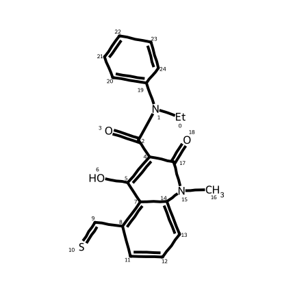 CCN(C(=O)c1c(O)c2c(C=S)cccc2n(C)c1=O)c1ccccc1